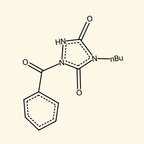 CCCCn1c(=O)[nH]n(C(=O)c2ccccc2)c1=O